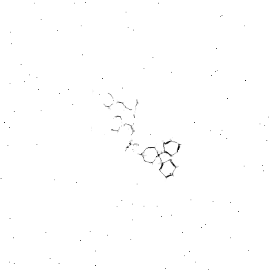 O=C(O)CN(CCN(CC(=O)O)C[C@H](COP(=O)(O)OC1CCC(c2ccccc2)(c2ccccc2)CC1)N(CC(=O)O)CC(=O)O)CC(=O)O